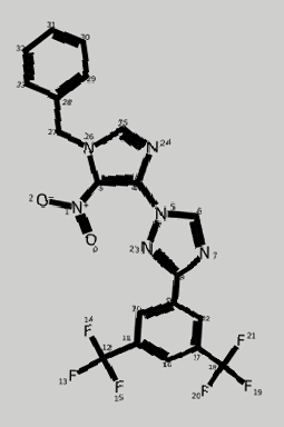 O=[N+]([O-])c1c(-n2cnc(-c3cc(C(F)(F)F)cc(C(F)(F)F)c3)n2)ncn1Cc1ccccc1